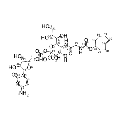 Nc1ccn(C2OC(COP(=O)(O)OC3(C(=O)O)CC(O)C(NC(=O)CNC(=O)OC4CC/C=C/CCC4)C([C@H](O)[C@H](O)CO)O3)C(O)C2O)c(=O)n1